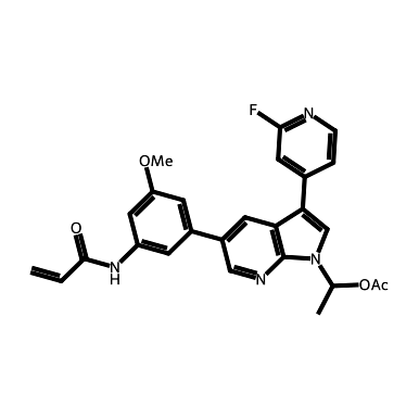 C=CC(=O)Nc1cc(OC)cc(-c2cnc3c(c2)c(-c2ccnc(F)c2)cn3C(C)OC(C)=O)c1